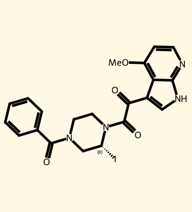 COc1ccnc2[nH]cc(C(=O)C(=O)N3CCN(C(=O)c4ccccc4)C[C@H]3I)c12